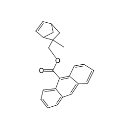 CC1(COC(=O)c2c3ccccc3cc3ccccc23)CC2C=CC1C2